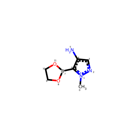 Cn1ncc(N)c1B1OCCO1